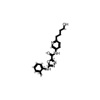 O=C(Nc1ccc(CCCCO)nc1)c1nnc(Nc2ccccc2F)o1